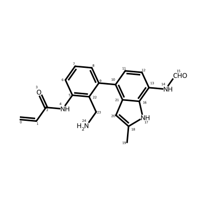 C=CC(=O)Nc1cccc(-c2ccc(NC=O)c3[nH]c(C)cc23)c1CN